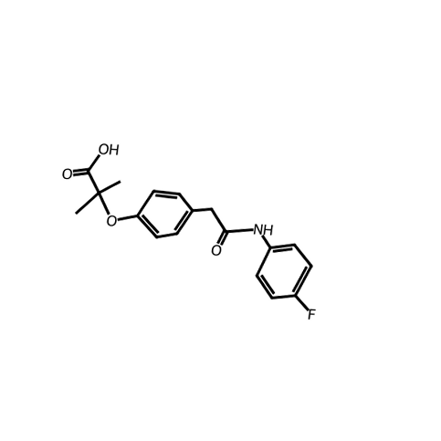 CC(C)(Oc1ccc(CC(=O)Nc2ccc(F)cc2)cc1)C(=O)O